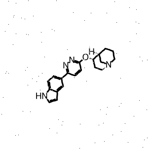 c1cc2cc(-c3ccc(O[C@H]4CC[N@@]5CCC[C@H]4C5)nn3)ccc2[nH]1